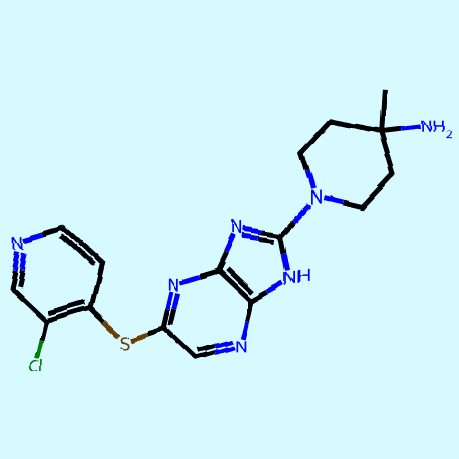 CC1(N)CCN(c2nc3nc(Sc4ccncc4Cl)cnc3[nH]2)CC1